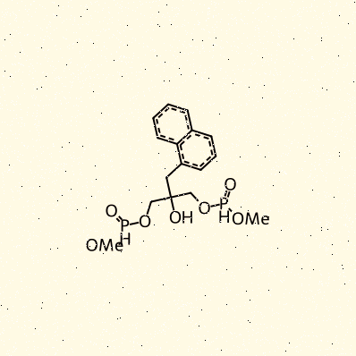 CO[PH](=O)OCC(O)(CO[PH](=O)OC)Cc1cccc2ccccc12